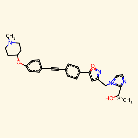 C[C@H](O)c1nccn1Cc1cc(-c2ccc(C#Cc3ccc(OC4CCN(C)CC4)cc3)cc2)on1